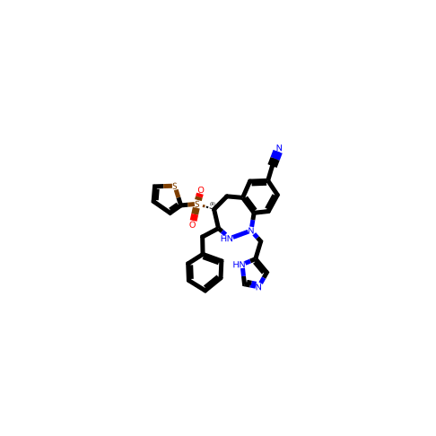 N#Cc1ccc2c(c1)C[C@@H](S(=O)(=O)c1cccs1)C(Cc1ccccc1)NN2Cc1cnc[nH]1